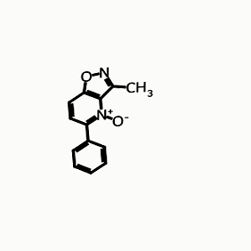 Cc1noc2ccc(-c3ccccc3)[n+]([O-])c12